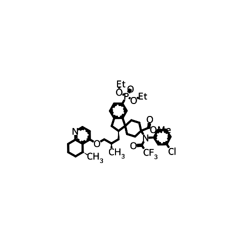 CCOP(=O)(OCC)c1ccc2c(c1)C1(CCC(C(=O)OC)(N(C(=O)C(F)(F)F)c3cccc(Cl)c3)CC1)[C@@H](C[C@@H](C)COc1ccnc3c1[C@H](C)CCC3)C2